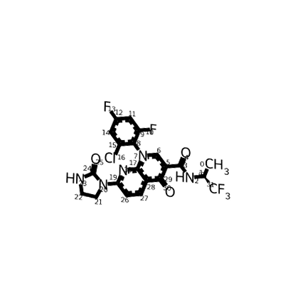 C[C@H](NC(=O)c1cn(-c2c(F)cc(F)cc2Cl)c2nc(N3CCNC3=O)ccc2c1=O)C(F)(F)F